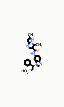 Cc1cc2ncc(C(=O)Nc3ccc4ncn(C(CC(=O)O)c5ccccc5)c4c3)c(C)n2n1